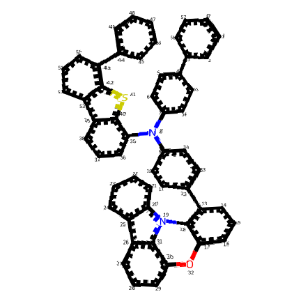 c1ccc(-c2ccc(N(c3ccc(-c4cccc5c4-n4c6ccccc6c6cccc(c64)O5)cc3)c3cccc4c3sc3c(-c5ccccc5)cccc34)cc2)cc1